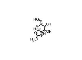 CC1=N[C@H]2C(O)[C@H](O)C(CO)C[C@@H]2O1